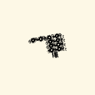 CCOc1ccc(COc2ccc([S])cc2)cc1.CCOc1ccc(COc2ccc([S])cc2)cc1.CCOc1ccc(COc2ccc([S])cc2)cc1.CCOc1ccc(COc2ccc([S])cc2)cc1.CCOc1ccc(COc2ccc([S])cc2)cc1.F.F.F.F.F